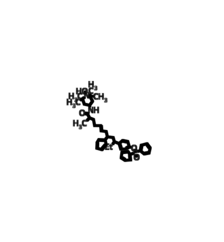 CCC(CC(C/C=C/CCC(C)C(=O)NC1CC(C)(C)N(O)C(C)(C)C1)c1ccccc1)c1ccc(OP(=O)(c2ccccc2)c2ccccc2)cc1